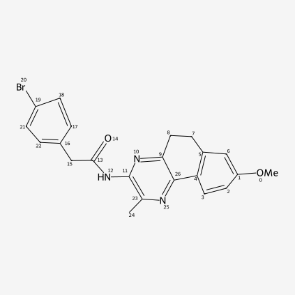 COc1ccc2c(c1)CCc1nc(NC(=O)Cc3ccc(Br)cc3)c(C)nc1-2